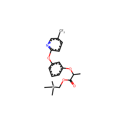 CC(Oc1cccc(Oc2ccc(C(F)(F)F)cn2)c1)C(=O)OC[Si](C)(C)C